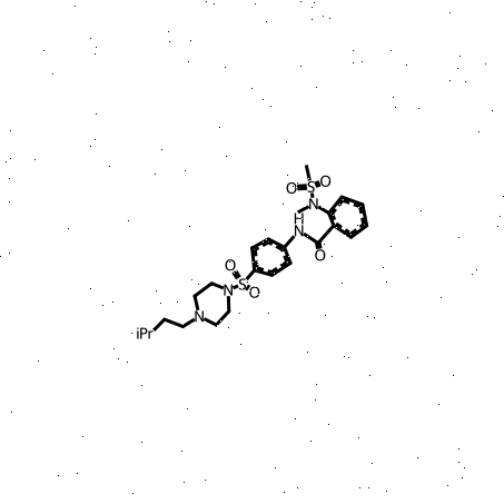 CC(C)CCN1CCN(S(=O)(=O)c2ccc(NC(=O)c3ccccc3N(C)S(C)(=O)=O)cc2)CC1